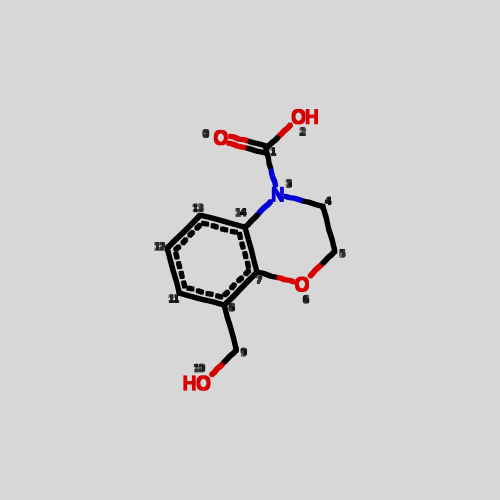 O=C(O)N1CCOc2c(CO)cccc21